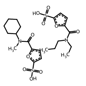 CCCN(CC)C(=O)c1ccc(S(=O)(=O)O)o1.CN(C(=O)c1ccc(S(=O)(=O)O)o1)C1CCCCC1